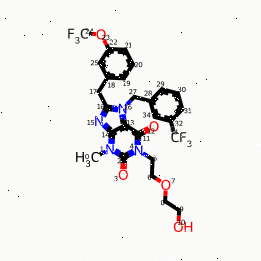 Cn1c(=O)n(CCOCCO)c(=O)c2c1nc(Cc1cccc(OC(F)(F)F)c1)n2Cc1cccc(C(F)(F)F)c1